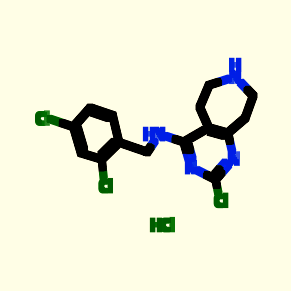 Cl.Clc1ccc(CNc2nc(Cl)nc3c2CCNCC3)c(Cl)c1